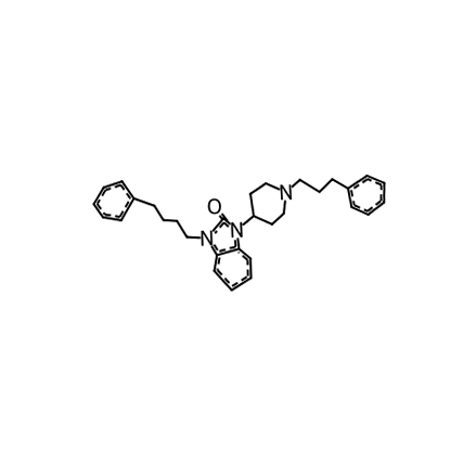 O=c1n(CCCCc2ccccc2)c2ccccc2n1C1CCN(CCCc2ccccc2)CC1